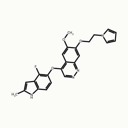 COc1cc2c(Oc3ccc4[nH]c(C)cc4c3F)cnnc2cc1OCCn1cccc1